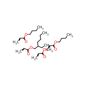 C=CC(=O)O.C=CC(=O)OCC(CC)CCCC.C=CC(=O)OCCCC.C=CC(=O)OCCCC